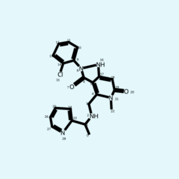 CC(NCc1c2c(=O)n(-c3ccccc3Cl)[nH]c2cc(=O)n1C)c1ccccn1